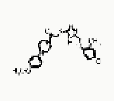 COc1ccc(N2CCN(C(=O)CSc3nnc(COc4ccc(Cl)cc4C)[nH]3)CC2)cc1